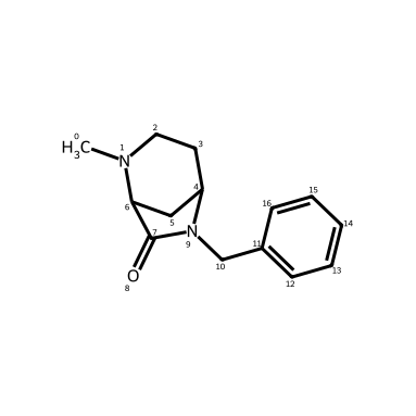 CN1CCC2CC1C(=O)N2Cc1ccccc1